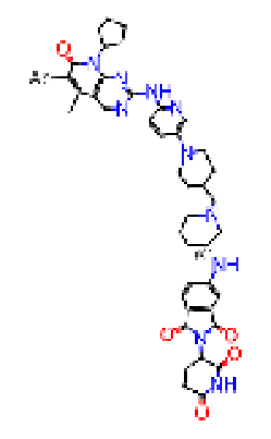 CC(=O)c1c(C)c2cnc(Nc3ccc(N4CCC(CN5CCC[C@@H](Nc6ccc7c(c6)C(=O)N(C6CCC(=O)NC6=O)C7=O)C5)CC4)cn3)nc2n(C2CCCC2)c1=O